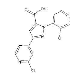 O=C(O)c1cc(-c2ccnc(Cl)c2)nn1-c1ccccc1Cl